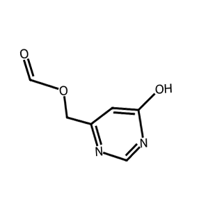 O=COCc1cc(O)ncn1